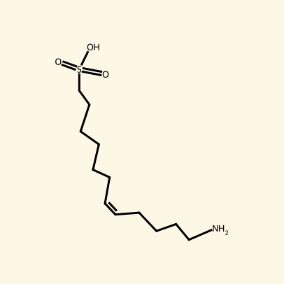 NCCCC/C=C\CCCCCCS(=O)(=O)O